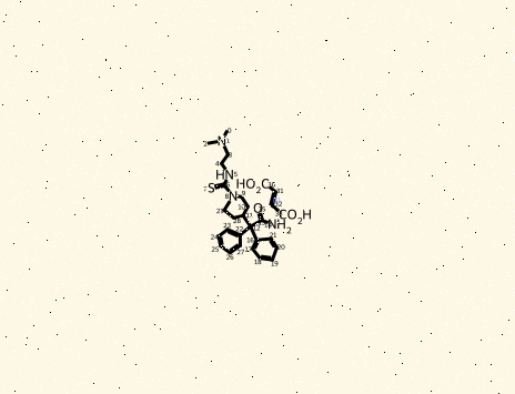 CN(C)CCNC(=S)N1CCC(C(C(N)=O)(c2ccccc2)c2ccccc2)CC1.O=C(O)/C=C/C(=O)O